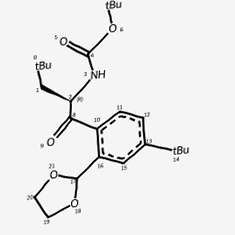 CC(C)(C)C[C@@H](NC(=O)OC(C)(C)C)C(=O)c1ccc(C(C)(C)C)cc1C1OCCO1